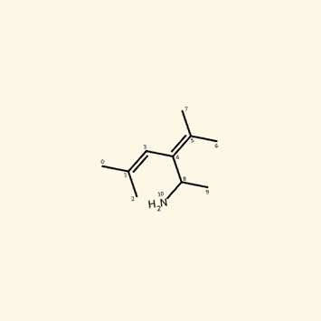 CC(C)=CC(=C(C)C)C(C)N